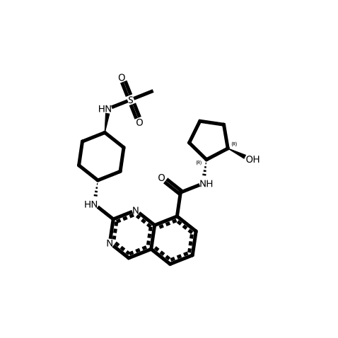 CS(=O)(=O)N[C@H]1CC[C@H](Nc2ncc3cccc(C(=O)N[C@@H]4CCC[C@H]4O)c3n2)CC1